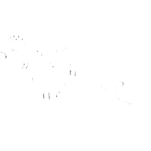 C/C=C1\CN(c2ncc(C(=O)OC)nc2C)[C@H](C)CN1C1CCN(C(=O)OC(C)(C)C)CC1